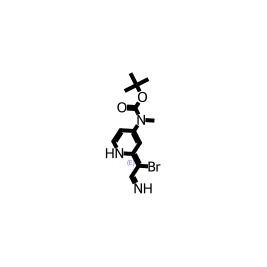 CN(C(=O)OC(C)(C)C)C1=C/C(=C(\Br)C=N)NC=C1